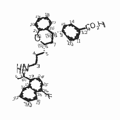 C[C@@H](NCCC[C@H]1C[C@@H](c2ccc(C(=O)O)cc2)c2ccccc2O1)c1ccc(F)c2ccccc12